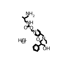 CCN(Cc1cc[n+](COC(=O)NCC(C)CN)cc1)C(=O)C(CO)c1ccccc1.Cl.[Cl-]